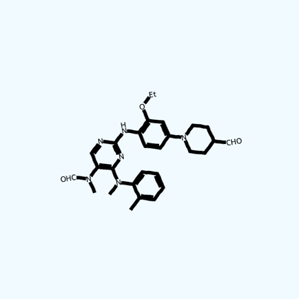 CCOc1cc(N2CCC(C=O)CC2)ccc1Nc1ncc(N(C)C=O)c(N(C)c2ccccc2C)n1